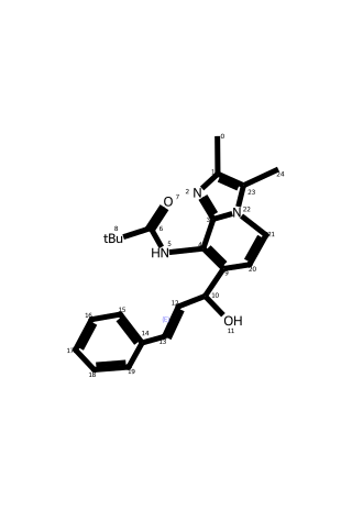 Cc1nc2c(NC(=O)C(C)(C)C)c(C(O)/C=C/c3ccccc3)ccn2c1C